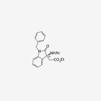 CCOC(=O)C[C@@]1(NC(C)=O)C(=O)N(Cc2ccccc2)c2ccccc21